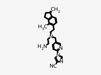 C=C1CCc2c1ccc(CCN(CCN)Cc1ccc(-n3cnc(C#N)c3)nc1)c2C